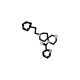 O=C(c1ccccn1)N1CCOCC12CCN(CCc1ccccc1)CC2